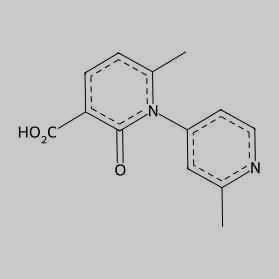 Cc1cc(-n2c(C)ccc(C(=O)O)c2=O)ccn1